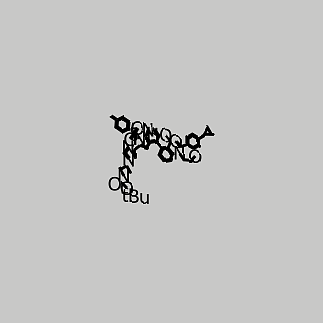 Cc1ccc(S(=O)(=O)n2c(-c3cn(C4CN(C(=O)OC(C)(C)C)C4)cn3)cc3c(-c4cccc(N5CCOc6cc(C7CC7)ccc6C5=O)c4CO)ccnc32)cc1